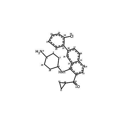 NC1CCC(Nc2c(C(=O)C3CC3)cnc3ccc(-c4ccccc4Cl)cc23)CC1